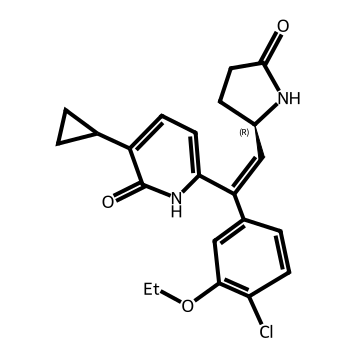 CCOc1cc(C(=C[C@H]2CCC(=O)N2)c2ccc(C3CC3)c(=O)[nH]2)ccc1Cl